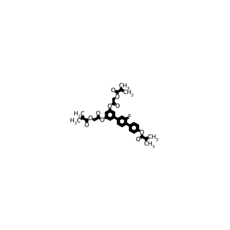 C=C(C)C(=O)OCC(=O)Oc1cc(OC(=O)COC(=O)C(=C)C)cc(-c2ccc(-c3ccc(OC(=O)C(=C)C)cc3)c(F)c2)c1